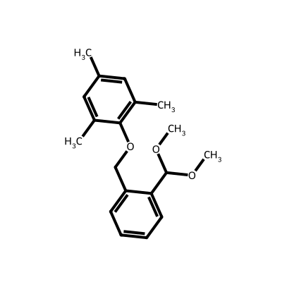 COC(OC)c1ccccc1COc1c(C)cc(C)cc1C